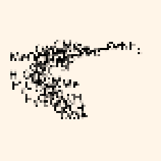 CC[C@H]1O[C@H](OC)[C@H](C)[C@@H](C)[C@@H]1O[C@@H]1O[C@@H](C)[C@@H](O[C@H]2O[C@H](CC)[C@@H](O[C@@H]3O[C@H](C)[C@@H](O[C@H]4O[C@H](CC)[C@@H](OCCOCCOCCOCCN)[C@H](OC)[C@H]4OC)[C@H](OC)[C@H]3OC)[C@H](C)[C@H]2C)[C@H](OC)[C@H]1OC